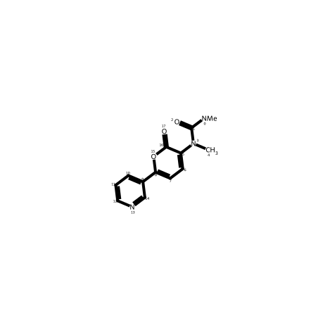 CNC(=O)N(C)c1ccc(-c2cccnc2)oc1=O